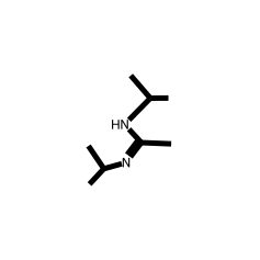 CC(=NC(C)C)NC(C)C